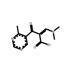 CCC(=O)/C(=C\N(C)C)C(=O)c1cncnc1C